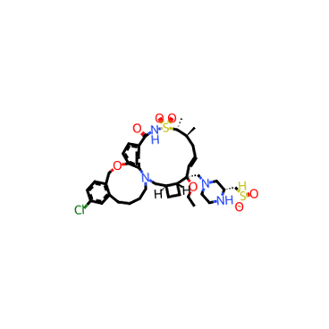 CCO[C@]1(CN2CCN[C@@H](C[SH](=O)=O)C2)/C=C/C[C@H](C)[C@@H](C)S(=O)(=O)NC(=O)c2ccc3c(c2)N(CCCCc2cc(Cl)ccc2CO3)C[C@@H]2CC[C@H]21